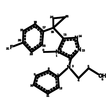 Cn1c(N(CCO)c2ccccc2)nnc1C1(c2ccc(F)cc2)CC1